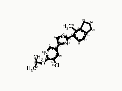 Cc1c(-c2nc(-c3cnc(OC(C)C)c(Cl)c3)cs2)ccc2c1CCC2